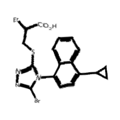 CCC(CSc1nnc(Br)n1-c1ccc(C2CC2)c2ccccc12)C(=O)O